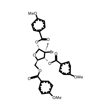 COc1ccc(C(=O)OC[C@H]2O[C@H](OC(=O)c3ccc(OC)cc3)[C@@](F)(Br)[C@@H]2OC(=O)c2ccc(OC)cc2)cc1